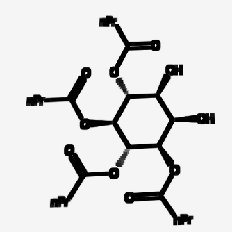 CCCC(=O)O[C@@H]1[C@@H](OC(=O)CCC)[C@H](OC(=O)CCC)[C@@H](O)[C@@H](O)[C@H]1OC(=O)CCC